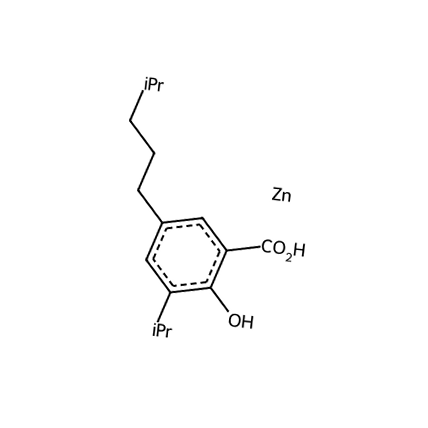 CC(C)CCCc1cc(C(=O)O)c(O)c(C(C)C)c1.[Zn]